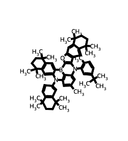 Cc1cc2c3c(c1)N(c1cc(C(C)(C)C)ccc1C)c1c(oc4cc5c(cc14)C(C)(C)CCC5(C)C)B3c1cc3c(cc1N2c1ccc2c(c1)C(C)(C)CCC2(C)C)C(C)(C)CCC3(C)C